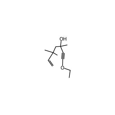 C=CC(C)(C)CC(C)(O)C#COCC